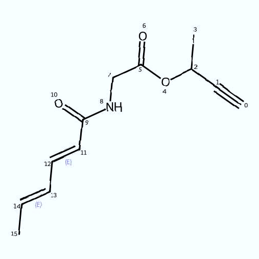 C#CC(I)OC(=O)CNC(=O)/C=C/C=C/C